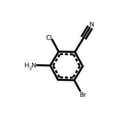 N#Cc1cc(Br)cc(N)c1Cl